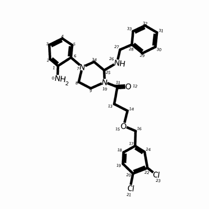 Nc1ccccc1N1CCN(C(=O)CCOCc2ccc(Cl)c(Cl)c2)C(NCc2ccccc2)C1